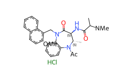 CNC(C)C(=O)N[C@@H]1C(=O)N(Cc2c(OC)ccc3ccccc23)c2ccccc2N(C(C)=O)[C@H]1C.Cl